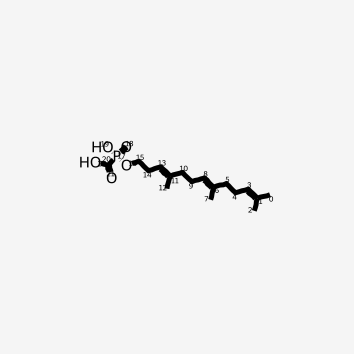 CC(C)=CCC/C(C)=C/CC/C(C)=C/CCOP(=O)(O)C(=O)O